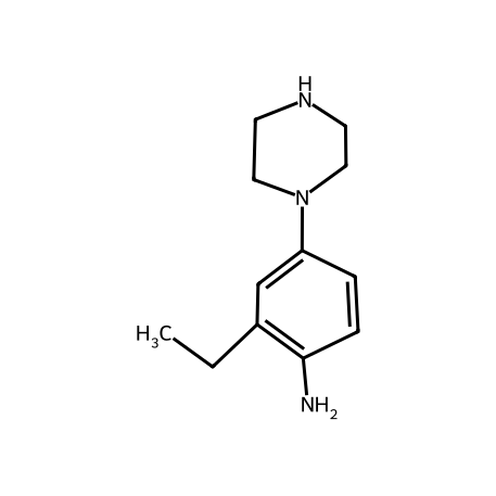 CCc1cc(N2CCNCC2)ccc1N